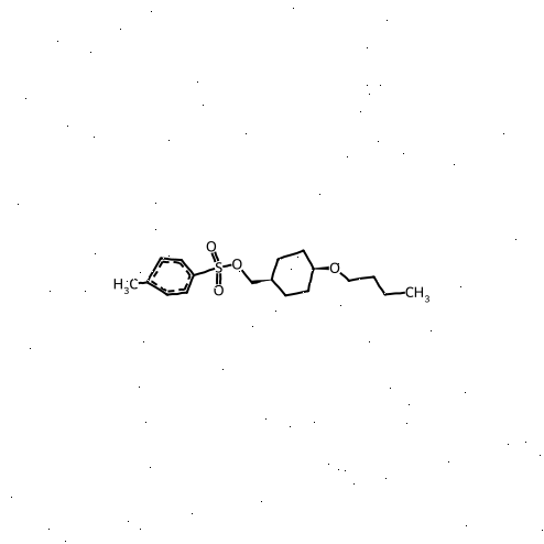 CCCCO[C@H]1CC[C@@H](COS(=O)(=O)c2ccc(C)cc2)CC1